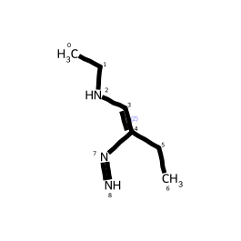 CCN/C=C(/CC)N=N